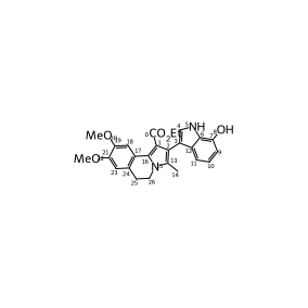 CCOC(=O)c1c(-c2c[nH]c3c(O)cccc23)c(C)n2c1-c1cc(OC)c(OC)cc1CC2